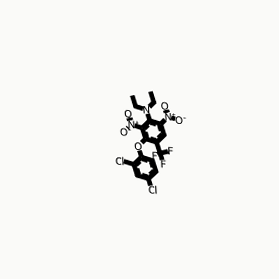 CCN(CC)c1c([N+](=O)[O-])cc(C(F)(F)F)c(Oc2ccc(Cl)cc2Cl)c1[N+](=O)[O-]